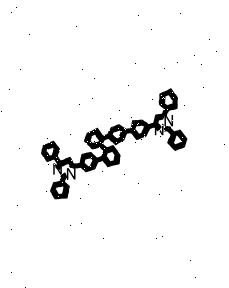 c1ccc(-c2cc(-c3ccc(-c4ccc(-c5ccccc5-c5ccccc5-c5ccc(-c6cc(-c7ccccc7)nc(-c7ccccc7)n6)cc5)cc4)cc3)nc(-c3ccccc3)n2)cc1